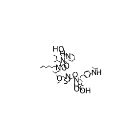 CCCCCCN(C(=O)[C@@H](NC(=O)[C@H]1CCCCN1CCO)[C@@H](C)CC)[C@H](C[C@@H](OCC)c1nc(C(=O)N[C@@H](Cc2ccc(NC(C)C)cc2)CC(C)(C)C(=O)O)cs1)C(C)C